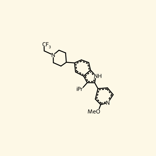 COc1cc(-c2[nH]c3ccc(C4CCN(CC(F)(F)F)CC4)cc3c2C(C)C)ccn1